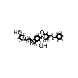 Cl.O=c1cc(CCc2ccccc2)ccn1-c1ccc2c(cnn2CCN2CC[C@H](O)C2)c1